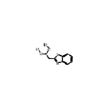 CCOP(Cc1nc2ccccc2s1)OCC